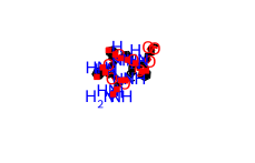 COC(=O)CCC(=O)N[C@@H](Cc1ccccc1)C(=O)N[C@H]1CCCNC(=O)C(CCCNC(=N)N)NC(=O)C(Cc2c[nH]c3ccccc23)NC(=O)[C@@H](CC2CCCCC2)NC(=O)C2CCCN2C1=O